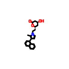 Cc1c(-c2cccc3ccccc23)ccn1CC[C@H]1C[C@H](O)CC(=O)O1